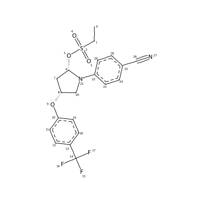 CCS(=O)(=O)O[C@H]1C[C@@H](Oc2ccc(C(F)(F)F)cc2)CN1c1ccc(C#N)cc1